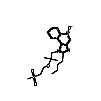 CCCCc1nc2c[n+]([O-])c3ccccc3c2n1CC(C)(C)OCCS(C)(=O)=O